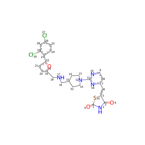 O=C1NC(=O)C(=Cc2ccnc(N3CCC(CNCc4ccc(-c5ccc(Cl)cc5Cl)o4)CC3)n2)S1